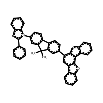 CC1(C)c2cc(-c3cc4c5ccccc5oc4c4c3oc3ccccc34)ccc2-c2ccc(-n3c(-c4ccccc4)nc4ccccc43)cc21